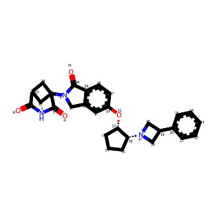 O=C1NC(=O)C2(N3Cc4cc(O[C@H]5CCC[C@H]5N5CC(c6ccccc6)C5)ccc4C3=O)CC1C2